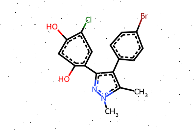 Cc1c(-c2ccc(Br)cc2)c(-c2cc(Cl)c(O)cc2O)nn1C